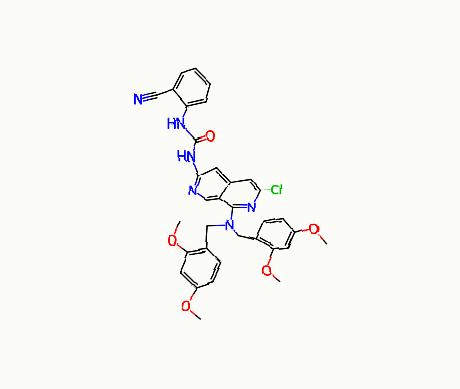 COc1ccc(CN(Cc2ccc(OC)cc2OC)c2nc(Cl)cc3cc(NC(=O)Nc4ccccc4C#N)ncc23)c(OC)c1